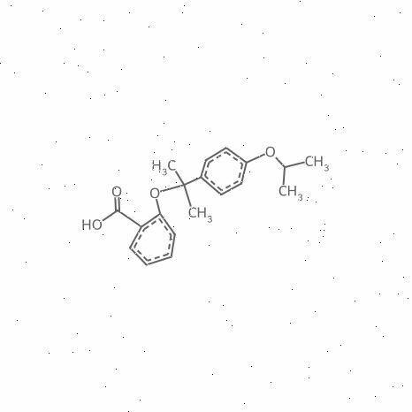 CC(C)Oc1ccc(C(C)(C)Oc2ccccc2C(=O)O)cc1